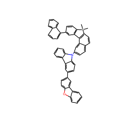 C[Si]1(C)c2ccc(-c3cccc4ccccc34)cc2-c2c1ccc1ccc(-n3c4ccccc4c4cc(-c5ccc6oc7ccccc7c6c5)ccc43)cc21